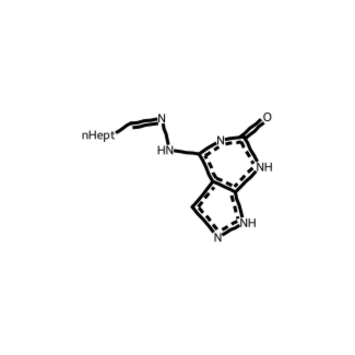 CCCCCCC/C=N\Nc1nc(=O)[nH]c2[nH]ncc12